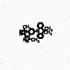 Cc1nnc2c3nnc(C)n3c3cc(N4c5ccccc5C(C)(C)c5ccccc54)ccc3n12